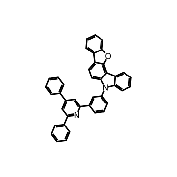 c1ccc(-c2cc(-c3ccccc3)nc(-c3cccc(-n4c5ccccc5c5c6oc7ccccc7c6ccc54)c3)c2)cc1